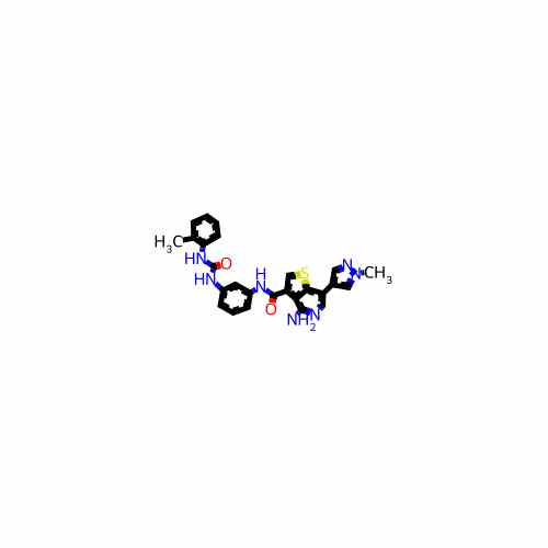 Cc1ccccc1NC(=O)Nc1cccc(NC(=O)c2csc3c(-c4cnn(C)c4)cnc(N)c23)c1